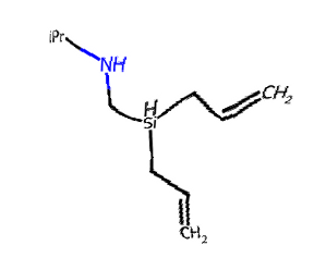 C=CC[SiH](CC=C)CNC(C)C